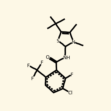 CC1=C(C(C)(C)C)SC(NC(=O)c2c(C(F)(F)F)ccc(Cl)c2F)N1C